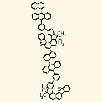 CC1(C)c2ccc(-c3cccc(-c4c5ccccc5c(-c5cccc6c(-c7cc8sc9ccccc9c8c8c9c(ccc78)C(C)(C)c7ccc(-c8cccc(-c%10c%11ccccc%11c(C%11=CC=CC%12C=CC=CC%11%12)c%11ccccc%10%11)c8)cc7-9)cccc56)c5ccccc45)c3)cc2-c2c1ccc1ccc3c4ccccc4sc3c21